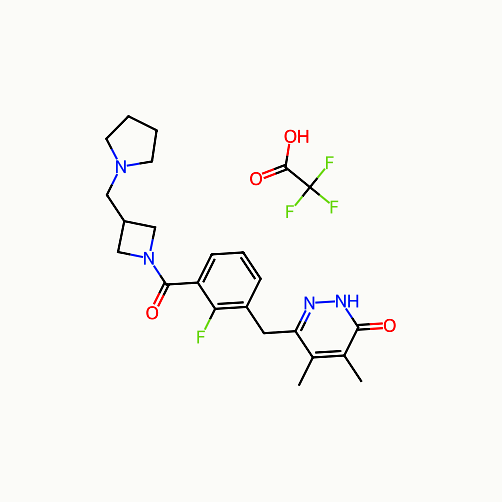 Cc1c(Cc2cccc(C(=O)N3CC(CN4CCCC4)C3)c2F)n[nH]c(=O)c1C.O=C(O)C(F)(F)F